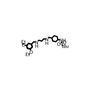 CCOc1cc(CNCCCNCC2CCC(NS(=O)(=O)C(C)(C)C)CC2)cc(OCC)c1